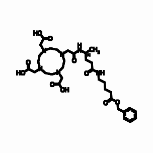 C[C@@H](CCC(=O)NCCCCC(=O)OCc1ccccc1)NC(=O)CN1CCN(CC(=O)O)CCN(CC(=O)O)CCN(CC(=O)O)CC1